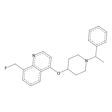 CC(c1ccccc1)N1CCC(Oc2ccnc3c(CF)cccc23)CC1